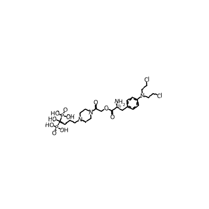 N[C@@H](Cc1ccc(N(CCCl)CCCl)cc1)C(=O)OCC(=O)N1CCN(CCCC(O)(P(=O)(O)O)P(=O)(O)O)CC1